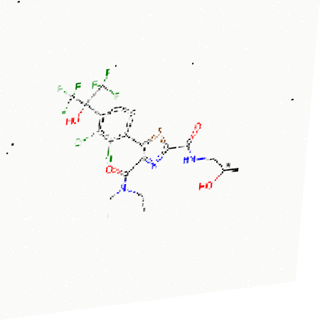 CCN(CC)C(=O)c1nc(C(=O)NC[C@@H](C)O)sc1-c1ccc(C(O)(C(F)(F)F)C(F)(F)F)c(Cl)c1Cl